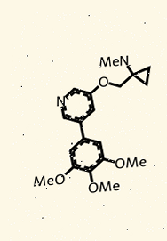 CNC1(COc2cncc(-c3cc(OC)c(OC)c(OC)c3)c2)CC1